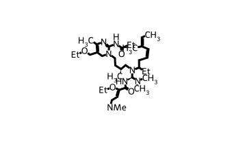 C/C=C(C)\C=C/CC(CC)N(C[C@H](C)CCN1CC(COCC)=C(C)N=C1NC(=O)CC)[C@H](NC(=O)C(=CCNC)OCC)N(C)C